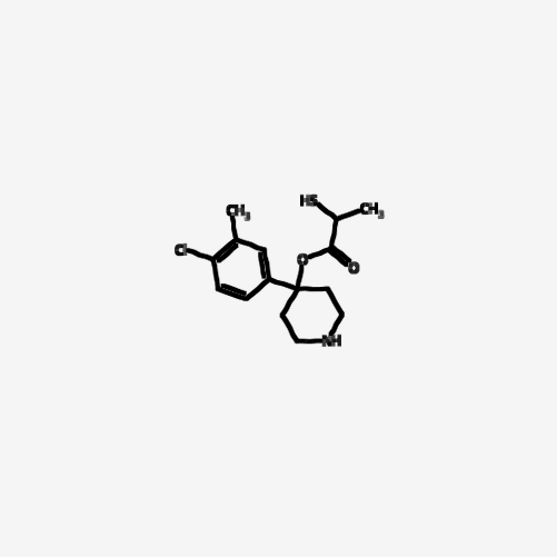 Cc1cc(C2(OC(=O)C(C)S)CCNCC2)ccc1Cl